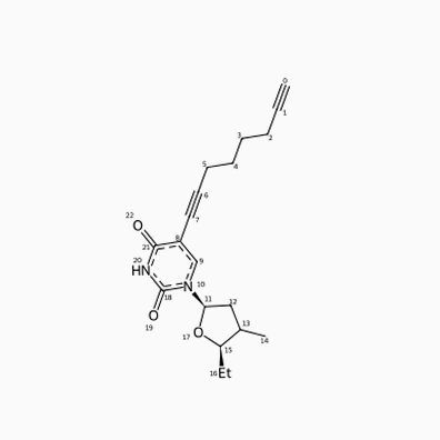 C#CCCCCC#Cc1cn([C@H]2CC(C)[C@@H](CC)O2)c(=O)[nH]c1=O